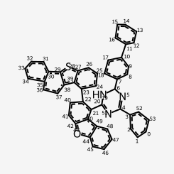 c1ccc(C2=NC(c3ccc(-c4ccccc4)cc3)NC(c3c(-c4cccc5sc6c7ccccc7ccc6c45)ccc4oc5ccccc5c34)=N2)cc1